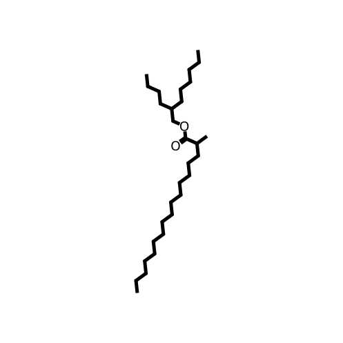 CCCCCCCCCCCCCCCC(C)C(=O)OCC(CCCC)CCCCCC